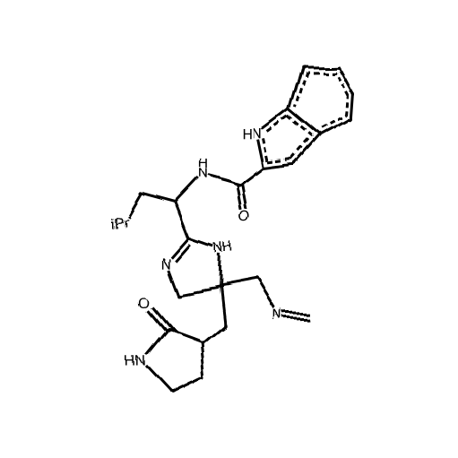 C=NCC1(CC2CCNC2=O)CN=C(C(CC(C)C)NC(=O)c2cc3ccccc3[nH]2)N1